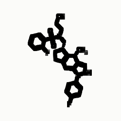 C[C@H]1C2=CNN(c3ccc(F)cc3)C2=CC2=C1[C@@H](CN(CCC#N)S(=O)(=O)c1ccccc1F)CC2